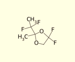 CC(F)(F)C1(C)OCC(F)(F)O1